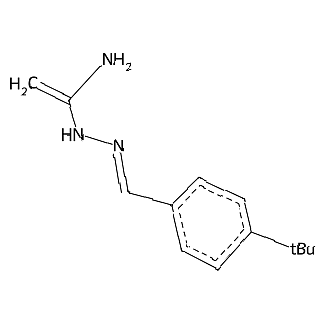 C=C(N)N/N=C/c1ccc(C(C)(C)C)cc1